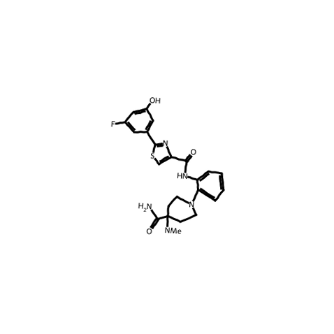 CNC1(C(N)=O)CCN(c2ccccc2NC(=O)c2csc(-c3cc(O)cc(F)c3)n2)CC1